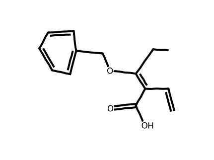 C=C/C(C(=O)O)=C(\CC)OCc1ccccc1